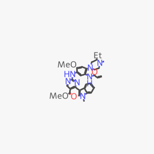 C=CC(=O)Nc1cc(Nc2ncc(C(=O)OC)c(-c3cn(C)c4ccccc34)n2)c(OC)cc1N1CCN(C)C(CC)C1